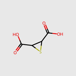 O=C(O)C1SC1C(=O)O